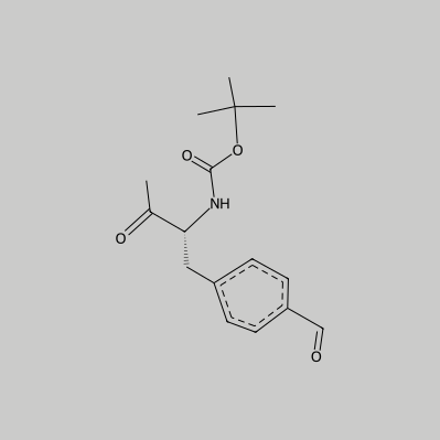 CC(=O)[C@@H](Cc1ccc(C=O)cc1)NC(=O)OC(C)(C)C